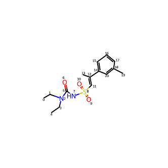 CCN(CC)C(=O)NS(=O)(=O)C=C(C)c1cccc(C)c1